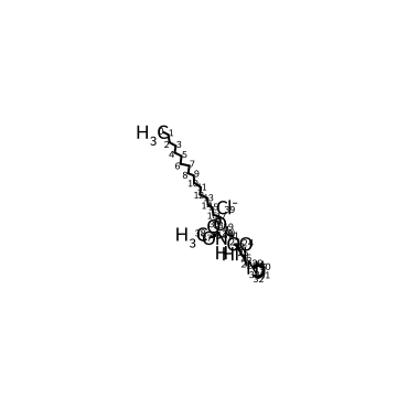 CCCCCCCCCCCCCCCCCCOC[C@@H](COC(=O)NCC[n+]1ccccc1)NC(=O)OC.[Cl-]